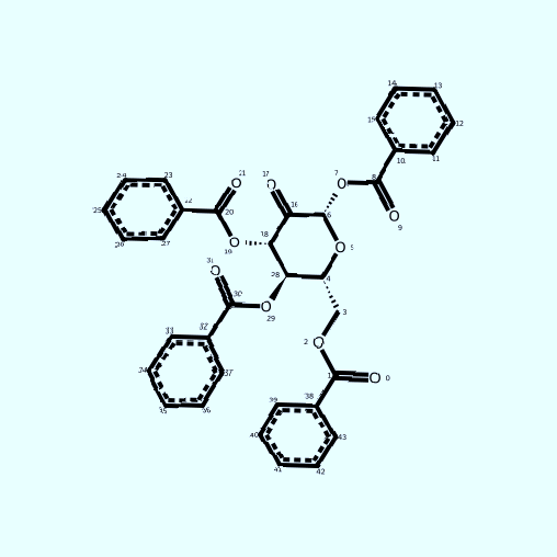 O=C(OC[C@H]1O[C@@H](OC(=O)c2ccccc2)C(=O)[C@@H](OC(=O)c2ccccc2)[C@@H]1OC(=O)c1ccccc1)c1ccccc1